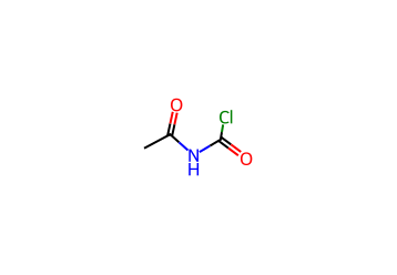 CC(=O)NC(=O)Cl